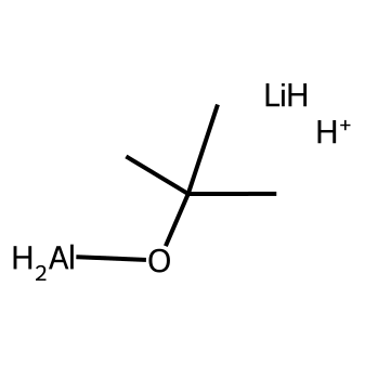 CC(C)(C)[O][AlH2].[H+].[LiH]